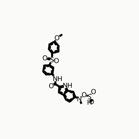 COc1ccc(S(=O)(=O)c2cccc(NC(=O)c3cc4ccc(N(C)O[SH](=O)=O)cc4[nH]3)c2)cc1